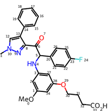 COc1cc(NC(C(=O)c2nn(C)cc2-c2ccccc2)c2ccc(F)cc2)cc(OCCCC(=O)O)c1